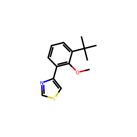 COc1c(-c2cscn2)cccc1C(C)(C)C